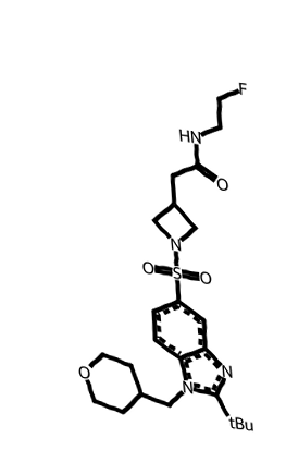 CC(C)(C)c1nc2cc(S(=O)(=O)N3CC(CC(=O)NCCF)C3)ccc2n1CC1CCOCC1